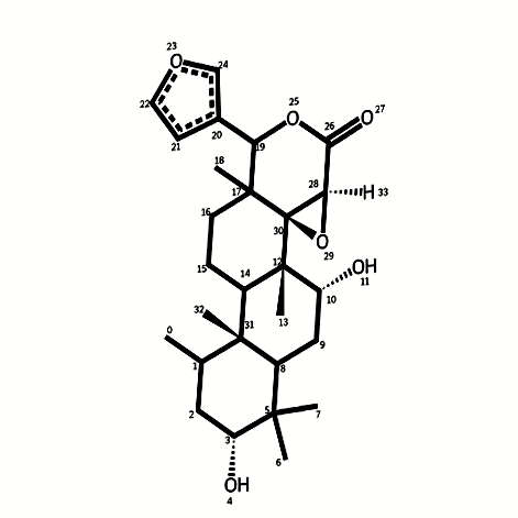 CC1C[C@@H](O)C(C)(C)C2C[C@@H](O)[C@]3(C)C(CCC4(C)C(c5ccoc5)OC(=O)[C@H]5O[C@]543)[C@@]12C